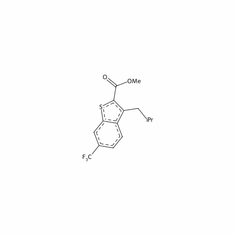 COC(=O)c1sc2cc(C(F)(F)F)ccc2c1CC(C)C